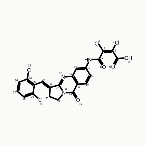 O=C(O)/C(Cl)=C(/Cl)C(=O)Nc1ccc2c(=O)n3c(nc2c1)/C(=C/c1c(Cl)cccc1Cl)CC3